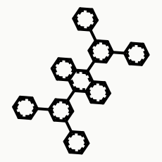 c1ccc(-c2cc(-c3ccccc3)cc(-c3c4ccccc4c(-c4cc(-c5ccccc5)cc(-c5ccccc5)c4)c4ccccc34)c2)cc1